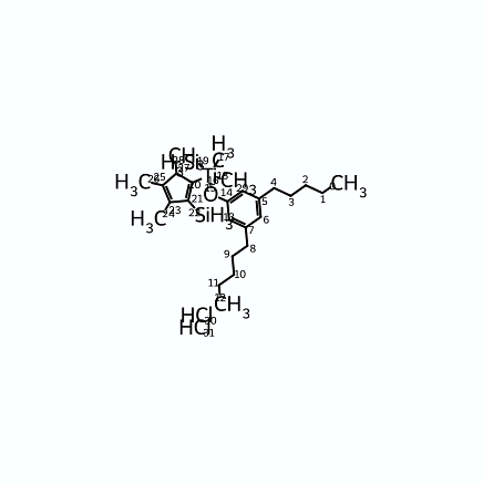 CCCCCc1cc(CCCCC)cc([O][Ti]([CH3])([CH3])([SiH3])[C]2=C([SiH3])C(C)=C(C)C2C)c1.Cl.Cl